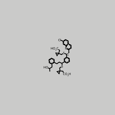 CC(O)Cc1ccccc1CCC(SCC1(CC(=O)O)CC1)c1cccc([C@H](Cc2ccc3ccc(Cl)cc3n2)SCC2(CC(=O)O)CC2)c1